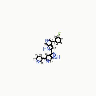 Fc1cccc(-c2cncc3[nH]c(-c4n[nH]c5cnc(-c6cccnc6)cc45)cc23)c1